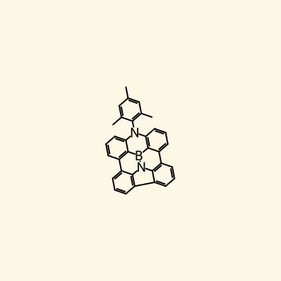 Cc1cc(C)c(N2c3cccc4c3B3c5c(cccc52)-c2cccc5c6cccc-4c6n3c25)c(C)c1